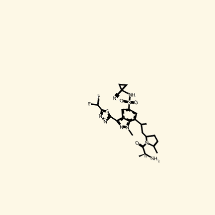 CC(CC1CCC(C)N1C(=O)[C@H](C)N)c1cc(S(=O)(=O)NC2(C#N)CC2)cc2c(-c3nnc(C(F)F)s3)nn(C)c12